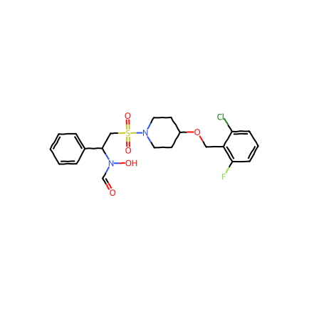 O=CN(O)C(CS(=O)(=O)N1CCC(OCc2c(F)cccc2Cl)CC1)c1ccccc1